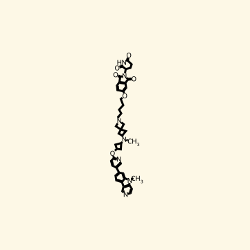 CN(C1CC(Oc2ccc(-c3ccc4c5cnccc5n(C)c4c3)cn2)C1)C1CC2(C1)CN(CCCCCOc1ccc3c(c1)C(=O)N(C1CCC(=O)NC1=O)C3=O)C2